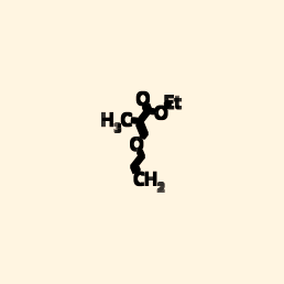 C=CCOC=C(C)C(=O)OCC